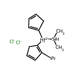 CC(C)C1=[C]([Hf+2]([C]2=CC=CC2)[SiH](C)C)CC=C1.[Cl-].[Cl-]